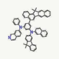 CC1(C)c2ccccc2-c2cc(N(c3cc(-c4cc5c(c6ccccc46)C(C)(C)c4cc6ccccc6cc4-5)cc(N(c4ccccc4)c4ccc5ccncc5c4)c3)c3ccc4ccccc4c3)ccc21